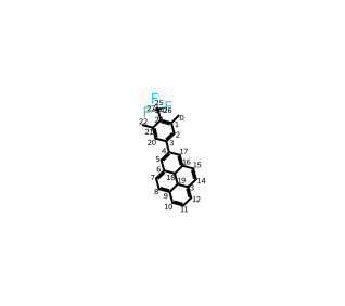 Cc1cc(C2=CC3=CC=C4C=CC=C5C=CC(=C2)C3C54)cc(C)c1C(F)(F)F